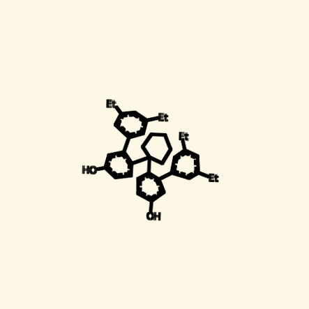 CCc1cc(CC)cc(-c2cc(O)ccc2C2(c3ccc(O)cc3-c3cc(CC)cc(CC)c3)CCCCC2)c1